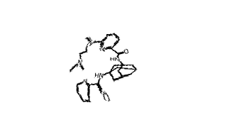 CN(C)CCN(C)c1cccc(C(=O)NC23CC4CC(CC(NC(=O)c5ccccn5)(C4)C2)C3)n1